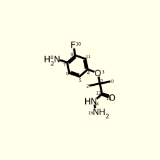 CC(C)(Oc1ccc(N)c(F)c1)C(=O)NN